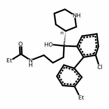 CCC(=O)NCCCC(O)(c1cccc(Cl)c1-c1cccc(CC)c1)[C@@H]1CCCNC1